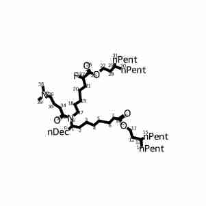 CCCCCCCCCCC(CCCCCCC(=O)OCCC(CCCCC)CCCCC)N(CCCCCC(F)C(=O)OCCC(CCCCC)CCCCC)C(=O)CCCN(C)C